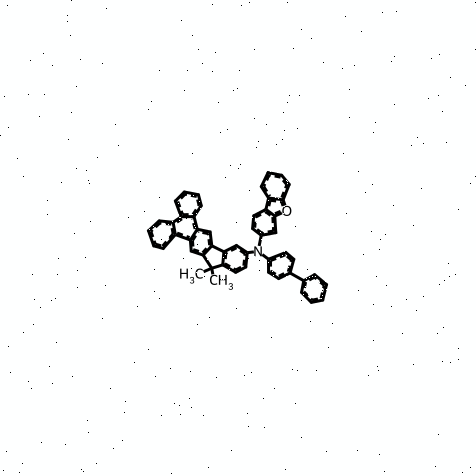 CC1(C)c2ccc(N(c3ccc(-c4ccccc4)cc3)c3ccc4c(c3)oc3ccccc34)cc2-c2cc3c4ccccc4c4ccccc4c3cc21